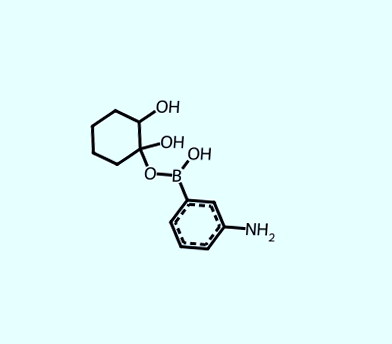 Nc1cccc(B(O)OC2(O)CCCCC2O)c1